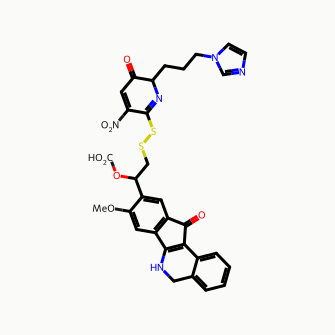 COc1cc2c(cc1C(CSSC1=NC(CCCn3ccnc3)C(=O)C=C1[N+](=O)[O-])OC(=O)O)C(=O)C1=C2NCc2ccccc21